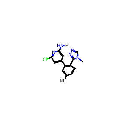 CCNc1cc(-c2cc(C#N)ccc2-c2nncn2C)cc(Cl)n1